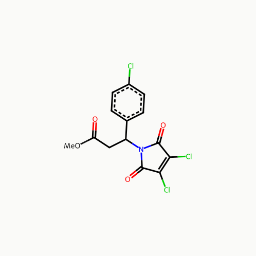 COC(=O)CC(c1ccc(Cl)cc1)N1C(=O)C(Cl)=C(Cl)C1=O